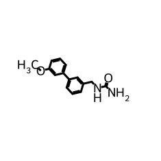 COc1cccc(-c2cccc(CNC(N)=O)c2)c1